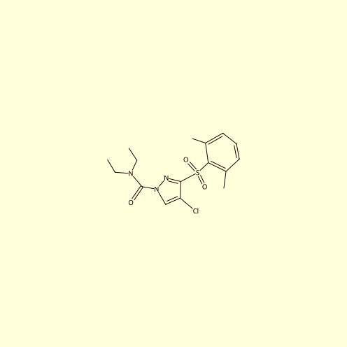 CCN(CC)C(=O)n1cc(Cl)c(S(=O)(=O)c2c(C)cccc2C)n1